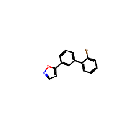 Brc1ccccc1-c1cccc(-c2ccno2)c1